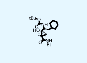 CCNC(=O)C(F)(F)[C@H](O)[C@H](CC1CCCCC1)NC(=O)OC(C)(C)C